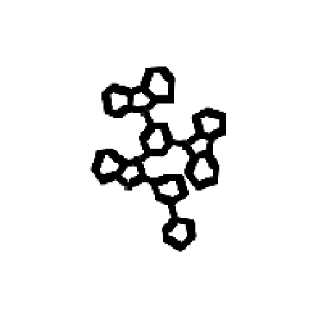 c1ccc(-c2cccc(-c3nc4ccccc4n3-c3cc(-n4c5ccccc5c5ccccc54)cc(-n4c5ccccc5c5ccccc54)c3)c2)cc1